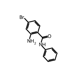 Nc1cc(Br)ccc1C(=O)Nc1ccccc1